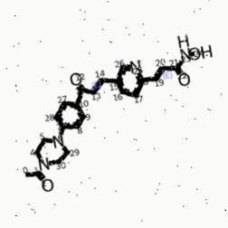 CC(=O)N1CCN(c2ccc(C(=O)/C=C/c3ccc(/C=C/C(=O)NO)nc3)cc2)CC1